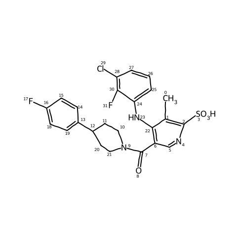 Cc1c(S(=O)(=O)O)ncc(C(=O)N2CCC(c3ccc(F)cc3)CC2)c1Nc1cccc(Cl)c1F